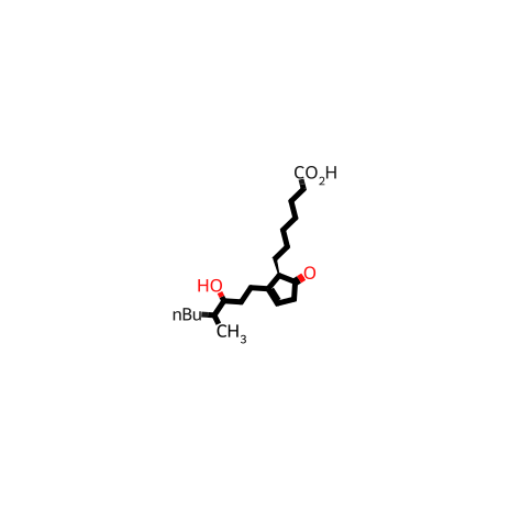 CCCCC(C)C(O)CCC1=CCC(=O)[C@@H]1CCCCCCC(=O)O